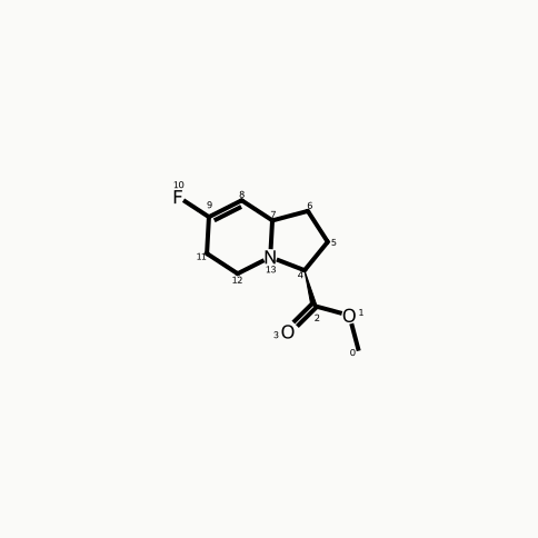 COC(=O)[C@@H]1CCC2C=C(F)CCN21